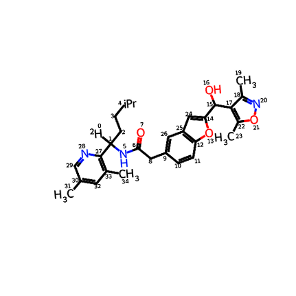 [2H]C(CCC(C)C)(NC(=O)Cc1ccc2oc(C(O)c3c(C)noc3C)cc2c1)c1ncc(C)cc1C